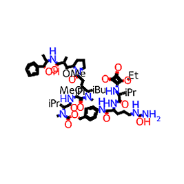 CCOc1c(NC(C(=O)NC(CCCNC(N)O)C(=O)Nc2ccc(COC(=O)N(C)C(C(=O)NC(C(=O)N(C)C(C(C)CC)C(CC(=O)N3CCCC3C(OC)C(C)C(=O)NC(C)C(O)c3ccccc3)OC)C(C)C)C(C)C)cc2)C(C)C)c(=O)c1=O